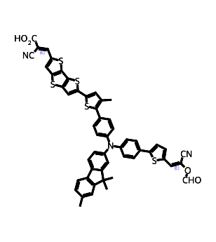 Cc1ccc2c(c1)C(C)(C)c1cc(N(c3ccc(-c4ccc(/C=C(\C#N)OC=O)s4)cc3)c3ccc(-c4sc(-c5cc6sc7cc(/C=C(\C#N)C(=O)O)sc7c6s5)cc4C)cc3)ccc1-2